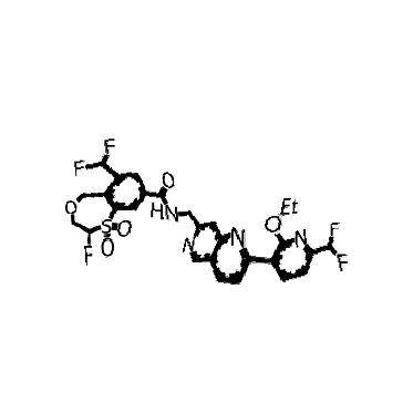 CCOc1nc(C(F)F)ccc1-c1ccc2cnc(CNC(=O)c3cc(C(F)F)c4c(c3)S(=O)(=O)[C@@H](F)COC4)cc2n1